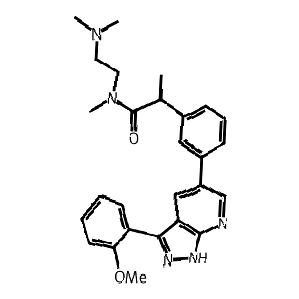 COc1ccccc1-c1n[nH]c2ncc(-c3cccc(C(C)C(=O)N(C)CCN(C)C)c3)cc12